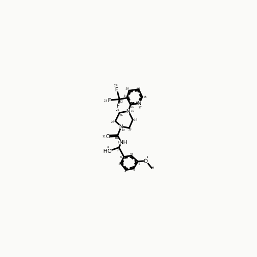 COc1cccc(C(O)NC(=O)N2CCN(c3ncccc3C(F)(F)F)CC2)c1